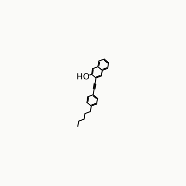 CCCCCc1ccc(C#Cc2cc3ccccc3cc2O)cc1